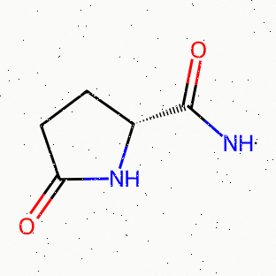 [NH]C(=O)[C@H]1CCC(=O)N1